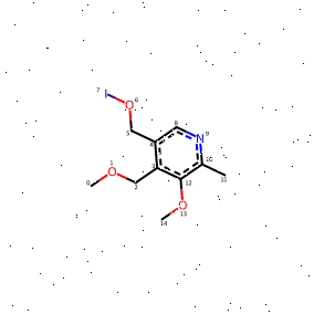 COCc1c(COI)cnc(C)c1OC